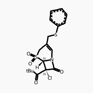 CC(C)(C)C(=O)[C@]1(Cl)C(=O)N2C=C(CSc3ccccc3)CS(=O)(=O)[C@H]21